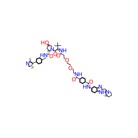 Cc1ncsc1-c1ccc(CNC(=O)[C@@H]2C[C@@H](O)CN2C(=O)[C@@H](NC(=O)CCOCCOCCNC(=O)c2ccc(C(=O)Nc3ccc4[nH]c(CN5CCC[C@@H]5C)nc4c3)cc2)C(C)(C)C)cc1